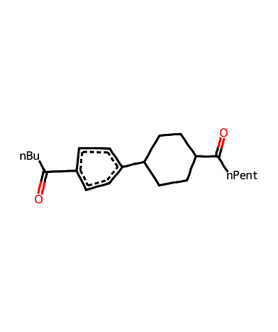 CCCCCC(=O)C1CCC(c2ccc(C(=O)CCCC)cc2)CC1